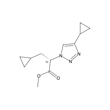 COC(=O)[C@H](CC1CC1)n1cc(C2CC2)nn1